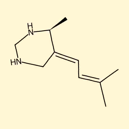 CC(C)=C/C=C1\CNCN[C@H]1C